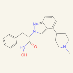 CN1CCC(c2cccc3nn(C(Cc4ccccc4)C(=O)NO)cc23)CC1